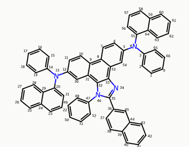 c1ccc(N(c2ccc3c4ccc(N(c5ccccc5)c5cccc6ccccc56)cc4c4c(nc(-c5ccc6ccccc6c5)n4-c4ccccc4)c3c2)c2cccc3ccccc23)cc1